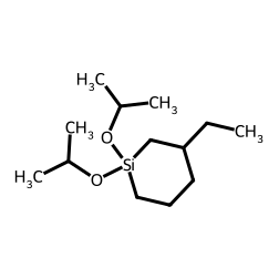 CCC1CCC[Si](OC(C)C)(OC(C)C)C1